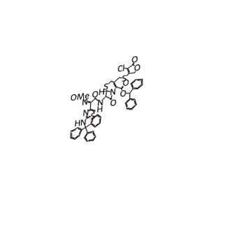 CO/N=C(\C(=O)N[C@@H]1C(=O)N2C(C(=O)OC(c3ccccc3)c3ccccc3)=C(CSC3=C(Cl)C(=O)OC3)CS[C@@H]12)c1csc(NC(c2ccccc2)(c2ccccc2)c2ccccc2)n1